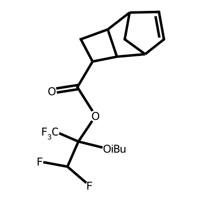 CC(C)COC(OC(=O)C1CC2C3C=CC(C3)C12)(C(F)F)C(F)(F)F